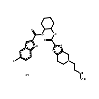 Cl.O=C(O)NCCN1CCc2nc(C(=O)NC3CCCCC3NC(=O)c3cc4cc(Cl)ccc4[nH]3)sc2C1